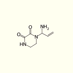 C=CC(N)N1CCNC(=O)C1=O